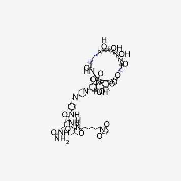 CO[C@H]1/C=C/O[C@@]2(C)Oc3c(C)c(O)c4c(=O)c(c5oc6cc(N7CCC([N+](C)(C)Cc8ccc(NC(=O)[C@H](CCCNC(N)=O)NC(=O)[C@@H](NC(=O)CCCCCN9C(=O)C=CC9=O)C(C)C)cc8)CC7)cc(O)c6nc-5c4c3C2=O)NC(=O)/C(C)=C\C=C\[C@H](C)[C@H](O)[C@@H](C)[C@@H](O)[C@@H](C)[C@H](O)[C@@H]1C